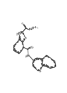 NC(=O)c1nc2c(C(=O)Nc3cnc4ccccc4c3)cccc2[nH]1